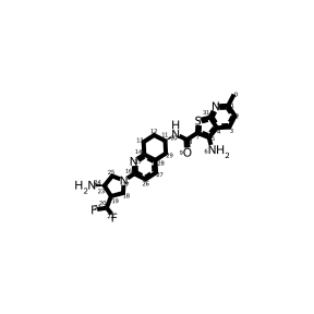 Cc1ccc2c(N)c(C(=O)N[C@H]3CCc4nc(N5CC(C(F)F)[C@@H](N)C5)ccc4C3)sc2n1